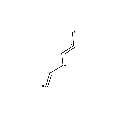 [CH]=CCC=CC